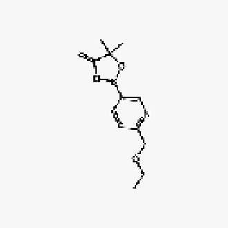 C=C1OB(c2ccc(COCC)nc2)OC1(C)C